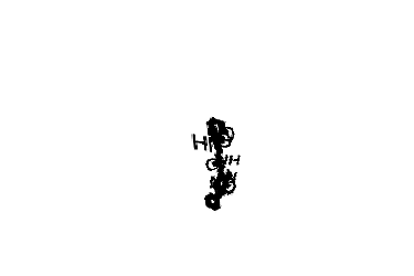 O=C(CCn1cnc2c(=O)n(Cc3ccccc3)cnc21)NCCNC(=O)CN1CCCC1=O